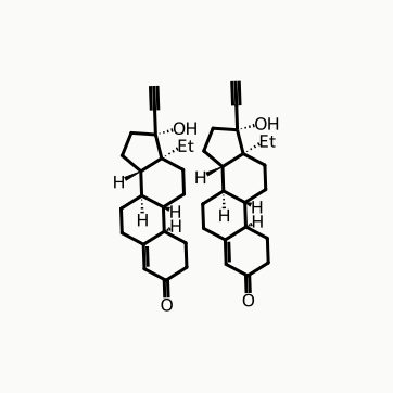 C#C[C@]1(O)CC[C@H]2[C@@H]3CCC4=CC(=O)CC[C@@H]4[C@H]3CC[C@@]21CC.C#C[C@]1(O)CC[C@H]2[C@@H]3CCC4=CC(=O)CC[C@@H]4[C@H]3CC[C@@]21CC